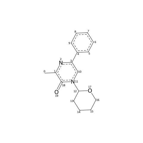 Cc1nc(-c2ccccc2)cn(C2CCCCO2)c1=O